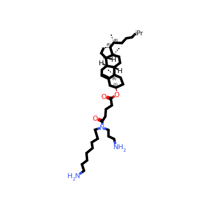 CC(C)CCC[C@@H](C)[C@H]1CC[C@H]2[C@@H]3CC=C4C[C@@H](OC(=O)CCCC(=O)N(CCCN)CCCCCCCCN)CC[C@]4(C)[C@H]3CC[C@]12C